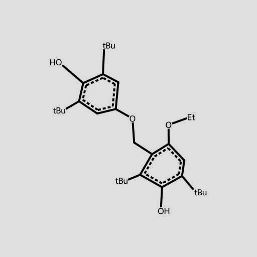 CCOc1cc(C(C)(C)C)c(O)c(C(C)(C)C)c1COc1cc(C(C)(C)C)c(O)c(C(C)(C)C)c1